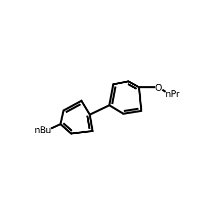 CCCCc1ccc(-c2ccc(OCCC)cc2)cc1